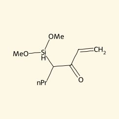 C=CC(=O)C(CCC)[SiH](OC)OC